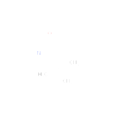 CC(C)(C)C1COC=N1